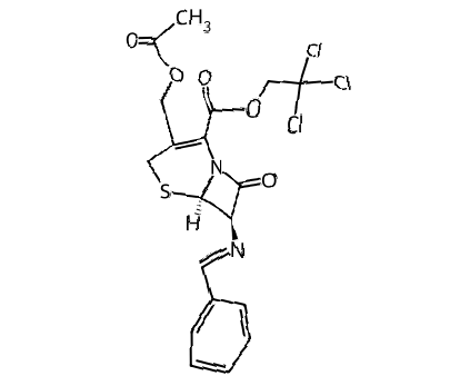 CC(=O)OCC1=C(C(=O)OCC(Cl)(Cl)Cl)N2C(=O)[C@@H](N=Cc3ccccc3)[C@H]2SC1